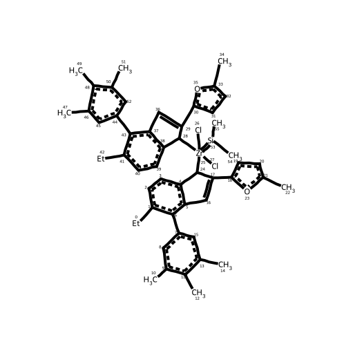 CCc1ccc2c(c1-c1cc(C)c(C)c(C)c1)C=C(c1ccc(C)o1)[CH]2[Zr]([Cl])([Cl])([CH]1C(c2ccc(C)o2)=Cc2c1ccc(CC)c2-c1cc(C)c(C)c(C)c1)=[Si](C)C